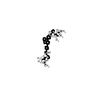 COC(=O)N[C@H](C(=O)N1CCC[C@H]1c1ncc(-c2ccc(-c3ccc(-c4ccc5[nH]c([C@@H]6CCCN6C(=O)[C@@H](NC(=O)OC)C(C)C)nc5c4)c4c3CCC43CCCC3)cc2)[nH]1)C(C)C